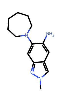 Cn1cc2cc(N)c(N3CCCCCC3)cc2n1